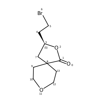 O=C1O[C@H](CCBr)CC12CCOCC2